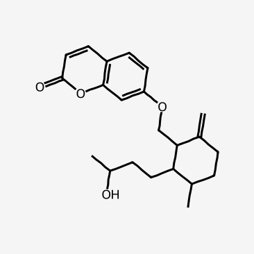 C=C1CCC(C)C(CCC(C)O)C1COc1ccc2ccc(=O)oc2c1